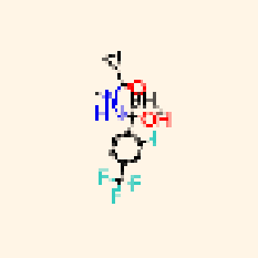 BC(O)(NN(C)C(=O)C1CC1)c1ccc(C(F)(F)F)cc1F